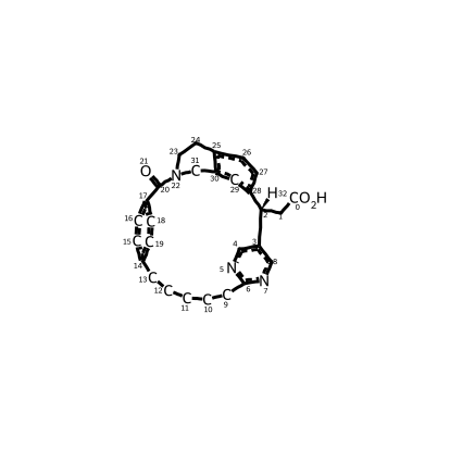 O=C(O)C[C@@H]1c2cnc(nc2)CCCCCc2ccc(cc2)C(=O)N2CCc3ccc1cc3C2